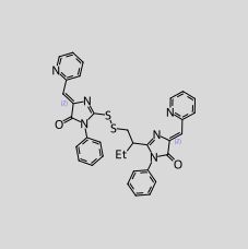 [CH2]CC(CSSC1=N/C(=C\c2ccccn2)C(=O)N1c1ccccc1)C1=N/C(=C\c2ccccn2)C(=O)N1c1ccccc1